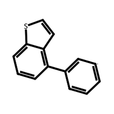 [c]1cccc(-c2cccc3sccc23)c1